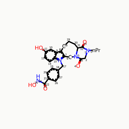 CCCN1CC(=O)N2Cc3c(c4cc(O)ccc4n3Cc3ccc(C(=O)NO)cc3)CCCC2C1=O